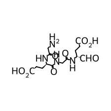 NCC(=O)N[C@H](CCC(=O)O)C(=O)NCC(=O)N[C@@H](C=O)CCC(=O)O